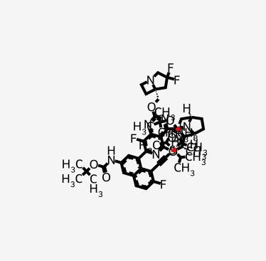 CC(C)[Si](C#Cc1c(F)ccc2cc(NC(=O)OC(C)(C)C)cc(-c3nc4c5c(nc(OC[C@]67CCN6CC(F)(F)C7)nc5c3F)N3C[C@H]5CC[C@@H]([C@H]3[C@H](C)O4)N5C(=O)OC(C)(C)C)c12)(C(C)C)C(C)C